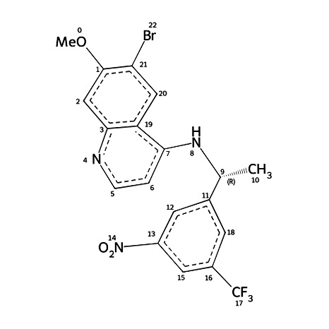 COc1cc2nccc(N[C@H](C)c3cc([N+](=O)[O-])cc(C(F)(F)F)c3)c2cc1Br